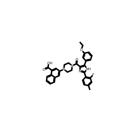 CCOc1cccc(-c2[nH]c(-c3ccc(C)cc3F)nc2C(=O)N2CCN(c3cc(C(=O)O)c4ccccc4c3)CC2)c1